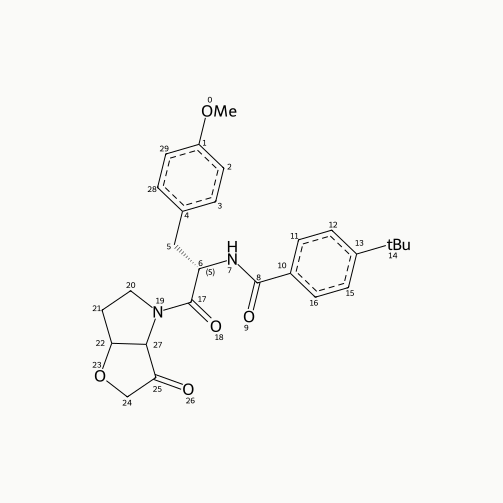 COc1ccc(C[C@H](NC(=O)c2ccc(C(C)(C)C)cc2)C(=O)N2CCC3OCC(=O)C32)cc1